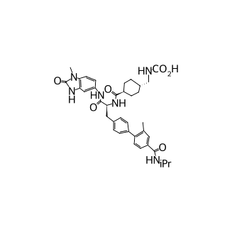 Cc1cc(C(=O)NC(C)C)ccc1-c1ccc(C[C@H](NC(=O)[C@H]2CC[C@H](CNC(=O)O)CC2)C(=O)Nc2ccc3c(c2)[nH]c(=O)n3C)cc1